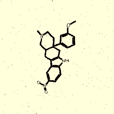 COc1cccc(C23CCN(C)CC2Cc2c([nH]c4ccc([N+](=O)[O-])cc24)C3)c1